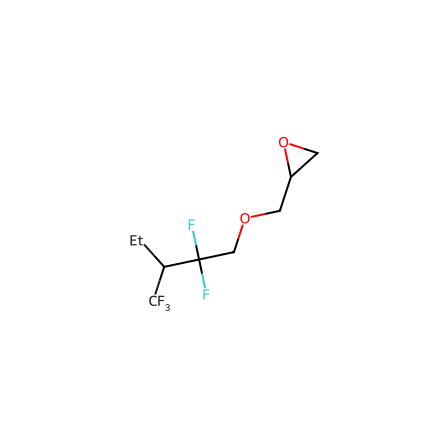 CCC(C(F)(F)F)C(F)(F)COCC1CO1